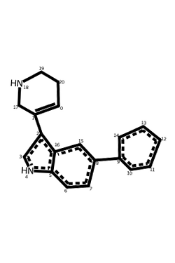 C1=C(c2c[nH]c3ccc(-c4ccccc4)cc23)CNCC1